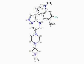 C=Nc1cc(F)c(OC)cc1/C(=C\C)c1cnn2cc(N3CCN(C4CN(C)C4)CC3)cnc12